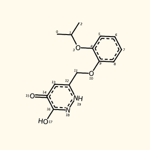 CC(C)Oc1ccccc1OCc1cc(=O)c(O)n[nH]1